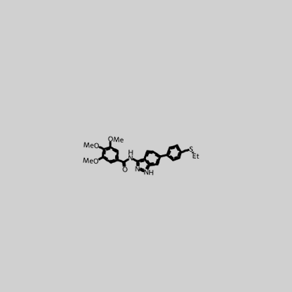 CCSc1ccc(-c2ccc3c(NC(=O)c4cc(OC)c(OC)c(OC)c4)n[nH]c3c2)cc1